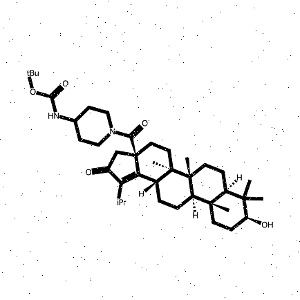 CC(C)C1=C2[C@H]3CC[C@@H]4[C@@]5(C)CC[C@H](O)C(C)(C)[C@@H]5CC[C@@]4(C)[C@]3(C)CC[C@@]2(C(=O)N2CCC(NC(=O)OC(C)(C)C)CC2)CC1=O